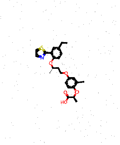 CCc1ccc(O[C@@H](C)CCOc2ccc(OC(C)C(=O)O)c(C)c2)c(-c2nccs2)c1